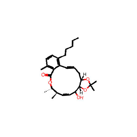 CCCCCc1ccc(C)c2c1/C=C/C[C@@H]1OC(C)(C)O[C@@H]1C(O)/C=C\[C@@H](C)[C@H](C)OC2=O